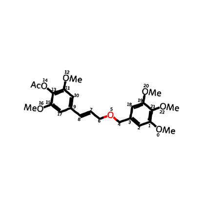 COc1cc(COC/C=C/c2cc(OC)c(OC(C)=O)c(OC)c2)cc(OC)c1OC